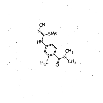 CS/C(=N\C#N)Nc1ccc(C(=O)N(C)C)c(C)c1